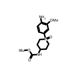 COc1cc(P2(=O)CCC(NC(=O)OC(C)(C)C)CC2)ccc1N